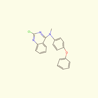 CN(c1ccc(Oc2ccccc2)cc1)c1nc(Cl)nc2ccccc12